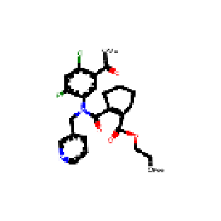 COCCOC(=O)C1=C(C(=O)N(Cc2cccnc2)c2cc(C(=O)OC)c(Cl)cc2F)CCCC1